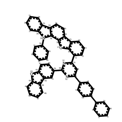 c1ccc(-c2ccc(-c3cc(-c4cccc5c4oc4c5ccc5c6ccccc6n(-c6ccccc6)c54)nc(-c4ccc5oc6ccccc6c5c4)n3)cc2)cc1